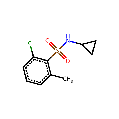 Cc1cccc(Cl)c1S(=O)(=O)NC1CC1